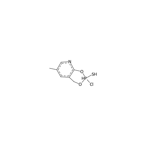 Cc1cnc2c(c1)CO[PH](S)(Cl)O2